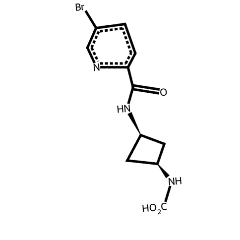 O=C(O)N[C@H]1C[C@@H](NC(=O)c2ccc(Br)cn2)C1